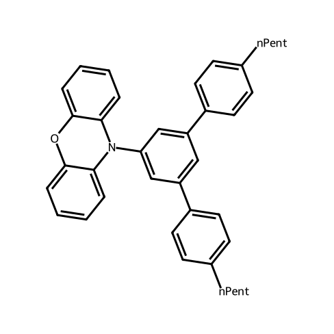 CCCCCc1ccc(-c2cc(-c3ccc(CCCCC)cc3)cc(N3c4ccccc4Oc4ccccc43)c2)cc1